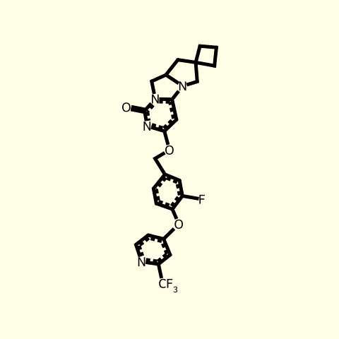 O=c1nc(OCc2ccc(Oc3ccnc(C(F)(F)F)c3)c(F)c2)cc2n1CC1CC3(CCC3)CN21